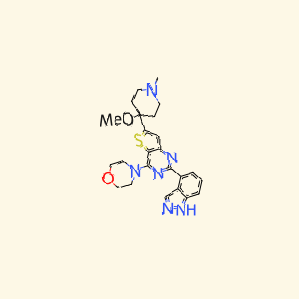 COC1(c2cc3nc(-c4cccc5[nH]ncc45)nc(N4CCOCC4)c3s2)CCN(C)CC1